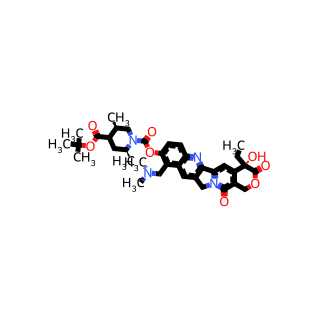 CC[C@@]1(O)C(=O)OCc2c1cc1n(c2=O)Cc2cc3c(CN(C)C)c(OC(=O)N4C[C@H](C)C(C(=O)OC(C)(C)C)C[C@H]4C)ccc3nc2-1